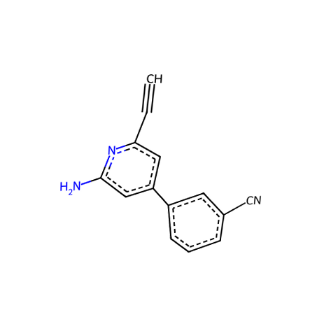 C#Cc1cc(-c2cccc(C#N)c2)cc(N)n1